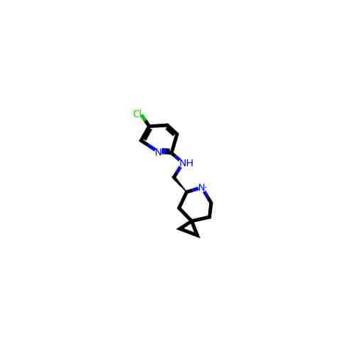 Clc1ccc(NC[C@@H]2CC3(CC[N]2)CC3)nc1